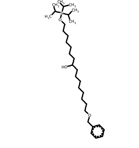 CC(C)[Si](OCCCCCCCC(O)CCCCCCCCOCc1ccccc1)(C(C)C)C(C)C